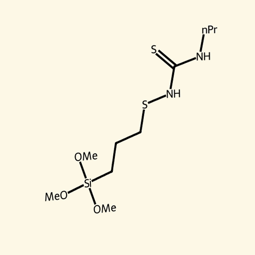 CCCNC(=S)NSCCC[Si](OC)(OC)OC